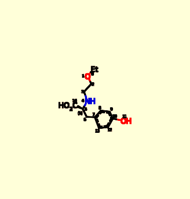 CCOCCN[C@@H](Cc1ccc(O)cc1)C(=O)O